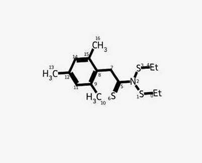 CCSN(SCC)C(=S)Cc1c(C)cc(C)cc1C